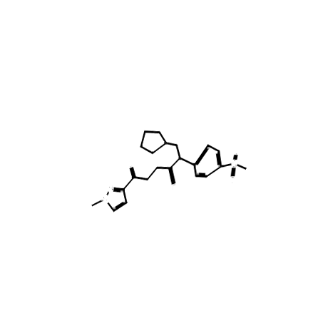 Cn1ccc(C(=O)CCC(=O)C(CC2CCCC2)c2ccc(S(C)(=O)=O)cc2)n1